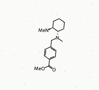 CN[C@H]1CCCC[C@@H]1N(C)Cc1ccc(C(=O)OC)cc1